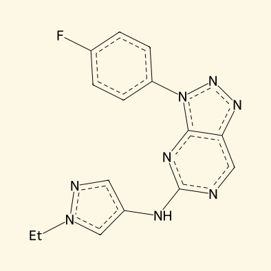 CCn1cc(Nc2ncc3nnn(-c4ccc(F)cc4)c3n2)cn1